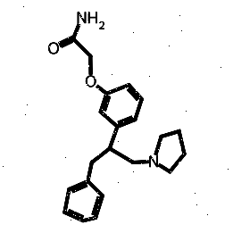 NC(=O)COc1cccc(C(Cc2ccccc2)CN2CCCC2)c1